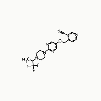 CC(N1CCN(c2ncc(OCc3ccncc3C#N)cn2)CC1)C(F)(F)F